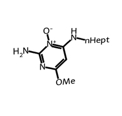 CCCCCCCNc1cc(OC)nc(N)[n+]1[O-]